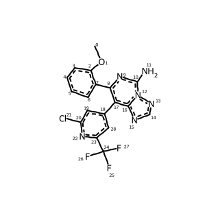 COc1ccccc1-c1nc(N)n2ncnc2c1-c1cc(Cl)nc(C(F)(F)F)c1